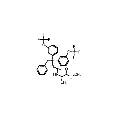 COC(=O)[C@@H](C)NC(=O)NC(Cc1ccccc1)(c1cccc(OC(F)(F)F)c1)c1cccc(OC(F)(F)F)c1